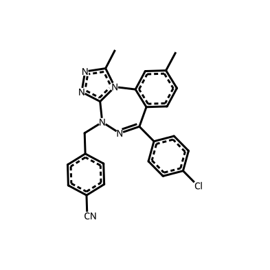 Cc1ccc2c(c1)-n1c(C)nnc1N(Cc1ccc(C#N)cc1)N=C2c1ccc(Cl)cc1